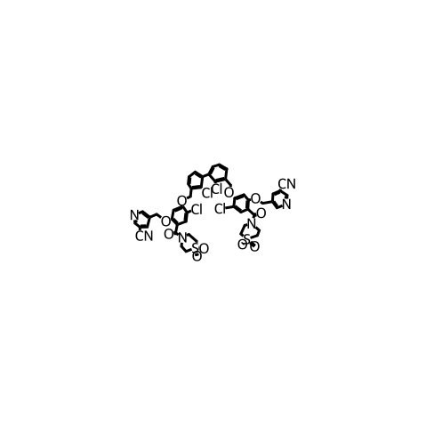 N#Cc1cncc(COc2cc(OCc3cccc(-c4cccc(COc5cc(OCc6cncc(C#N)c6)c(C(=O)N6CCS(=O)(=O)CC6)cc5Cl)c4Cl)c3Cl)c(Cl)cc2C(=O)N2CCS(=O)(=O)CC2)c1